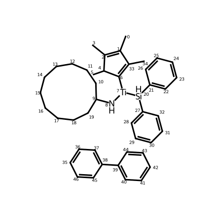 CC1=C(C)C(C)[C]([Ti]([NH]C2CCCCCCCCCC2)[SiH](c2ccccc2)c2ccccc2)=C1C.c1ccc(-c2ccccc2)cc1